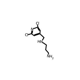 NCCCNCc1cc(Cl)nc(Cl)c1